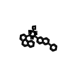 Clc1nc(-c2ccc3cc(-c4ccccc4)ccc3c2)nc(-c2cccc3ccc4ccccc4c23)n1